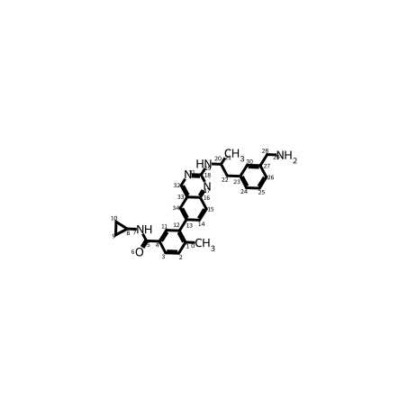 Cc1ccc(C(=O)NC2CC2)cc1-c1ccc2nc(NC(C)Cc3cccc(CN)c3)ncc2c1